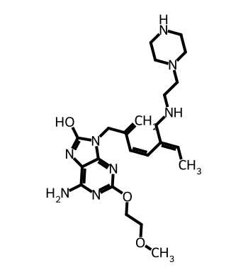 C=C(/C=C\C(=C/C)CNCCN1CCNCC1)Cn1c(O)nc2c(N)nc(OCCOC)nc21